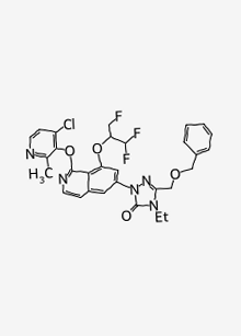 CCn1c(COCc2ccccc2)nn(-c2cc(OC(CF)C(F)F)c3c(Oc4c(Cl)ccnc4C)nccc3c2)c1=O